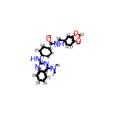 CN(C)c1nc(N[C@H]2CC[C@@H](C(=O)NCc3ccc4c(c3)OCO4)CC2)nc2ccccc12